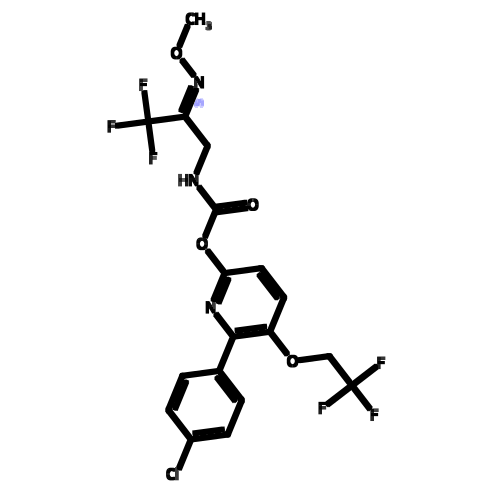 CO/N=C(/CNC(=O)Oc1ccc(OCC(F)(F)F)c(-c2ccc(Cl)cc2)n1)C(F)(F)F